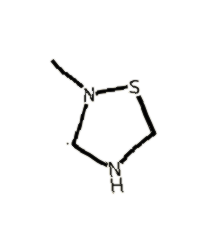 CN1[CH]NCS1